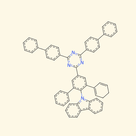 C1=CC(c2cc(-c3nc(-c4ccc(-c5ccccc5)cc4)nc(-c4ccc(-c5ccccc5)cc4)n3)cc(-c3ccccc3)c2-n2c3ccccc3c3ccccc32)=CCC1